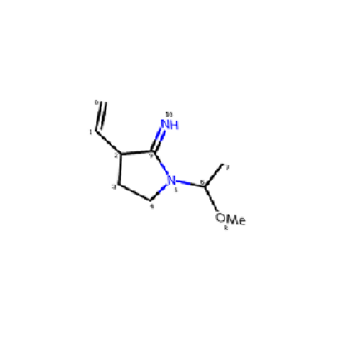 C=CC1CCN(C(C)OC)C1=N